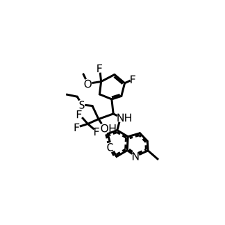 CCSCC(O)(C(Nc1cccc2nc(C)ccc12)C1=CC(F)=CC(F)(OC)C1)C(F)(F)F